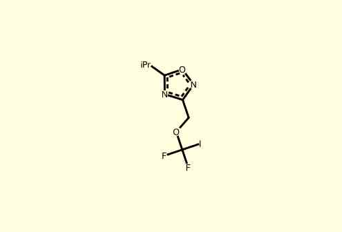 CC(C)c1nc(COC(F)(F)I)no1